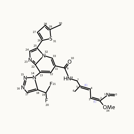 C=N/C(=C\C=C(/C)CNC(=O)c1cc(-n2nncc2C(F)F)c2ncc(-c3ccc(C)s3)n2c1)OC